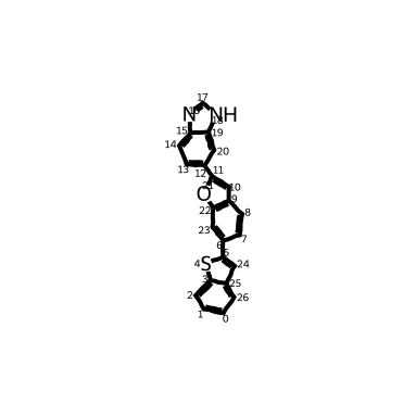 c1ccc2sc(-c3ccc4cc(-c5ccc6nc[nH]c6c5)oc4c3)cc2c1